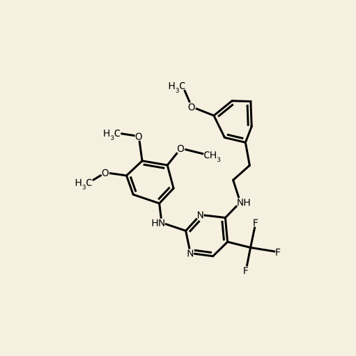 COc1cccc(CCNc2nc(Nc3cc(OC)c(OC)c(OC)c3)ncc2C(F)(F)F)c1